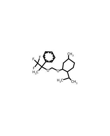 CC1CCC(C(C)C)C(OCOC(C)(c2ccccc2)C(F)(F)F)C1